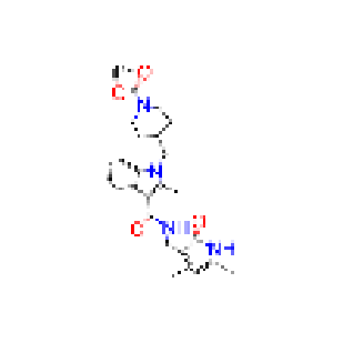 Cc1cc(C)c(CNC(=O)c2c(C)n(C(C)C3CCN(C(=O)OC(C)C)CC3)c3ccccc23)c(=O)[nH]1